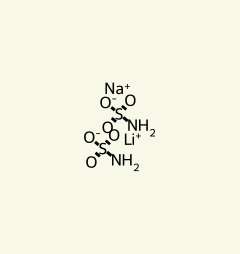 NS(=O)(=O)[O-].NS(=O)(=O)[O-].[Li+].[Na+]